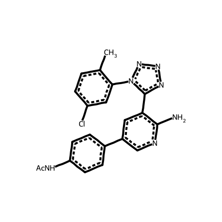 CC(=O)Nc1ccc(-c2cnc(N)c(-c3nnnn3-c3cc(Cl)ccc3C)c2)cc1